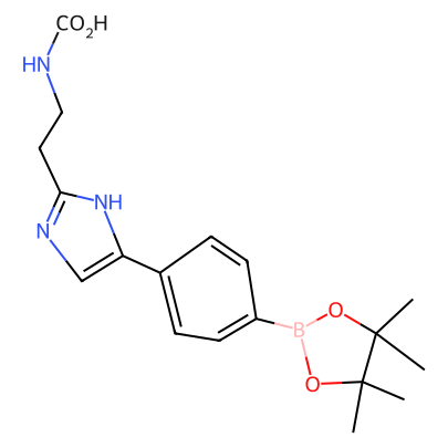 CC1(C)OB(c2ccc(-c3cnc(CCNC(=O)O)[nH]3)cc2)OC1(C)C